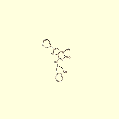 CCCn1c(=O)nc(N[C@@H](CO)Cc2ccccc2)c2[nH]c(-c3ccccc3)cc21